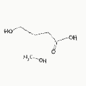 CO.O=C(O)CCCO